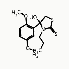 CCCN1C(=S)SCC1(O)c1cc(OC)ccc1OC